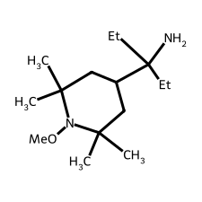 CCC(N)(CC)C1CC(C)(C)N(OC)C(C)(C)C1